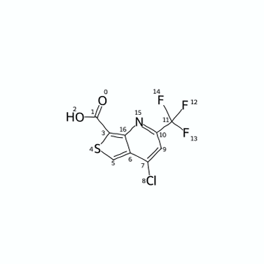 O=C(O)c1scc2c(Cl)cc(C(F)(F)F)nc12